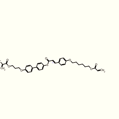 C=CC(=O)OCCCCCCOc1ccc(/C=C/C(=O)Sc2ccc(-c3ccc(OCCCOC(=O)C(=C)C)cc3)cc2)cc1